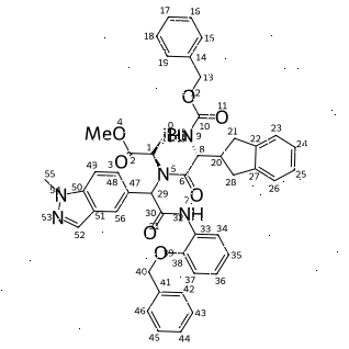 CC[C@H](C)[C@H](C(=O)OC)N(C(=O)[C@H](NC(=O)OCc1ccccc1)C1Cc2ccccc2C1)C(C(=O)Nc1ccccc1OCc1ccccc1)c1ccc2c(cnn2C)c1